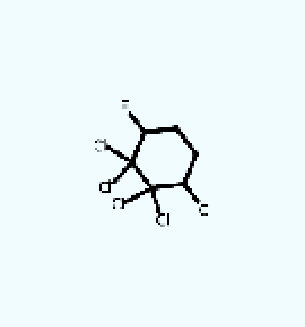 FC1CCC(Cl)C(Cl)(Cl)C1(Cl)Cl